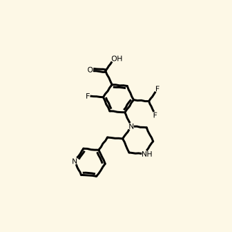 O=C(O)c1cc(C(F)F)c(N2CCNCC2Cc2cccnc2)cc1F